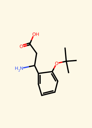 CC(C)(C)Oc1ccccc1C(N)CC(=O)O